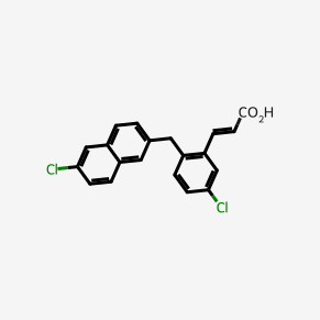 O=C(O)C=Cc1cc(Cl)ccc1Cc1ccc2cc(Cl)ccc2c1